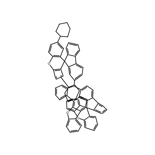 c1ccc2c(c1)Oc1ccccc1C21c2ccccc2-c2ccc(N(c3ccc4c(c3)C3(c5cc(C6CCCCC6)ccc5Oc5ccc(C6CCCCC6)cc53)c3ccccc3-4)c3ccccc3-c3cccc4c3oc3ccccc34)cc21